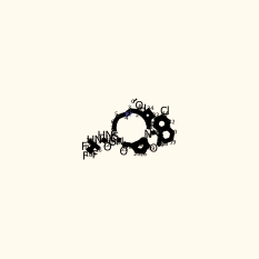 CO[C@H]1/C=C/CCC[S@@](=O)(NC(=O)NC(C)(C)C(F)(F)F)=NC(=O)c2ccc3c(c2)N(C[C@@H]2CC[C@H]21)C[C@@]1(CCCc2cc(Cl)ccc21)CO3